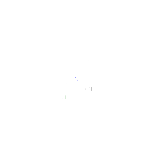 N#CN1C(Cl)=CC=C2C=CSC21